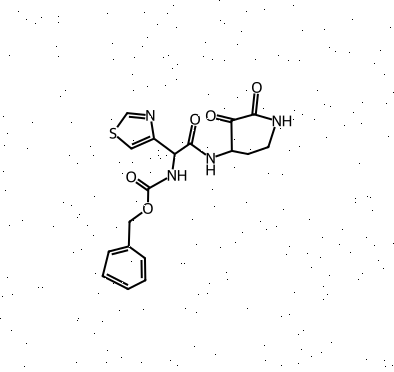 O=C(NC(C(=O)NC1CCNC(=O)C1=O)c1cscn1)OCc1ccccc1